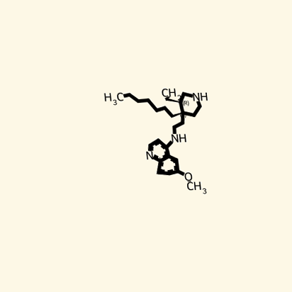 C=C[C@H]1CNCC[C@]1(CCCCCCC)CCNc1ccnc2ccc(OC)cc12